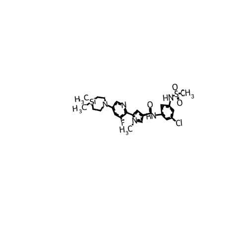 Cn1cc(C(=O)Nc2cc(Cl)cc(NS(C)(=O)=O)c2)cc1-c1ncc(N2CC[Si](C)(C)CC2)cc1F